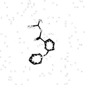 CC(C)OC(=O)c1cccc(C[n+]2ccccc2)c1